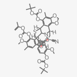 C=C(C)OC(=O)Oc1c(OC)c(C)cc2c1[C@H]1C3[C@@H]4SC[C@]5(NCCc6cc(OC(=O)OC(C)(C)C)c(OC)cc65)C(=O)OC[C@@H](c5c6c(c(C)c(OC(=O)OC(C)(C)C)c54)OCO6)N3[C@@H](C#N)[C@H](C2)N1C